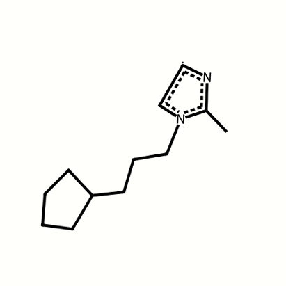 Cc1n[c]cn1CCCC1CCCC1